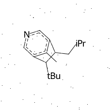 Cc1c2cncc1C(C(C)(C)C)C2CC(C)C